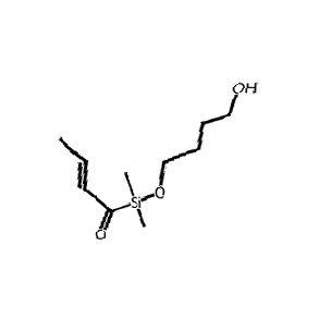 CC=CC(=O)[Si](C)(C)OCCCCO